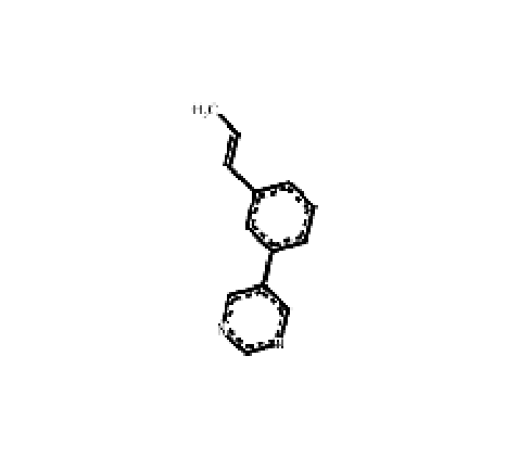 [CH2]/C=C/c1cccc(-c2cncnc2)c1